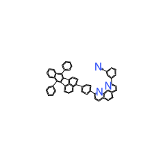 N#Cc1cccc(-c2ccc3ccc4ccc(-c5ccc(-c6ccc7c8c(cccc68)-c6c-7c(-c7ccccc7)c7ccccc7c6-c6ccccc6)cc5)nc4c3n2)c1